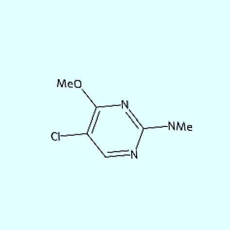 CNc1ncc(Cl)c(OC)n1